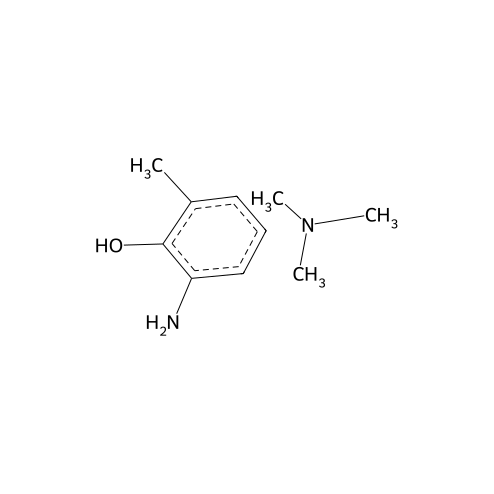 CN(C)C.Cc1cccc(N)c1O